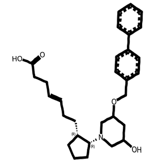 O=C(O)CCC=CCC[C@H]1CCC[C@H]1N1CC(O)CC(OCc2ccc(-c3ccccc3)cc2)C1